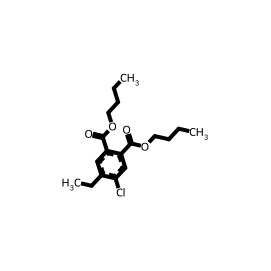 CCCCOC(=O)c1cc(Cl)c(CC)cc1C(=O)OCCCC